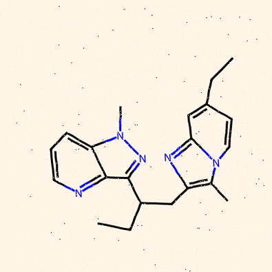 CCc1ccn2c(C)c(CC(CC)c3nn(C)c4cccnc34)nc2c1